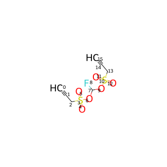 C#CCS(=O)(=O)OC(F)OS(=O)(=O)CC#C